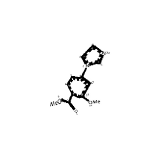 COC(=O)c1ccc(-n2ccnc2)cc1OC